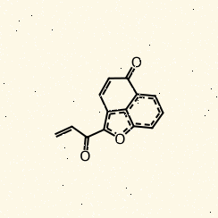 C=CC(=O)c1oc2cccc3c2c1C=CC3=O